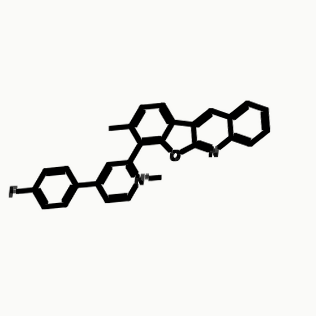 Cc1ccc2c(oc3nc4ccccc4cc32)c1-c1cc(-c2ccc(F)cc2)cc[n+]1C